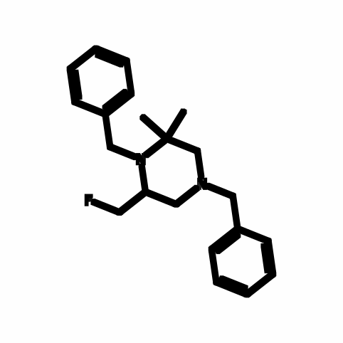 CC1(C)CN(Cc2ccccc2)CC(CF)N1Cc1ccccc1